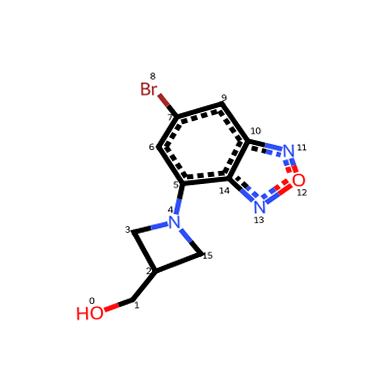 OCC1CN(c2cc(Br)cc3nonc23)C1